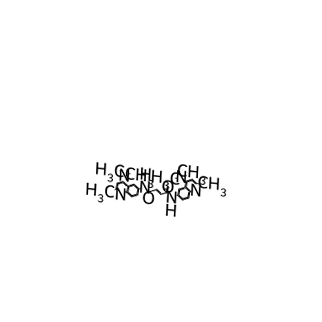 Cc1cc(N(C)C)c2cc(NC(=O)C=CC(=O)Nc3ccc4nc(C)cc(N(C)C)c4c3)ccc2n1